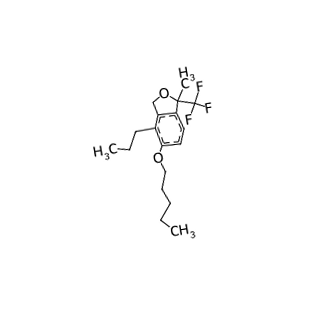 CCCCCOc1ccc2c(c1CCC)COC2(C)C(F)(F)F